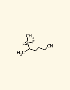 CC(CCCC#N)[Si](C)(F)F